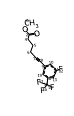 COC(=O)CCCC#Cc1cc(F)cc(C(F)(F)F)c1